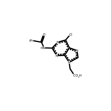 CC(C)C(=O)Nc1nc(Cl)c2ncn(CC(=O)O)c2n1